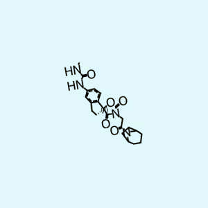 CNC(=O)Nc1ccc2c(c1)CC[C@@]21OC(=O)N(CC(=O)N2C3CCCC2CC3)C1=O